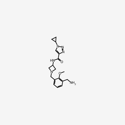 COc1c(CN)cccc1CN1CC(NC(=O)c2cn(C3CC3)nn2)C1